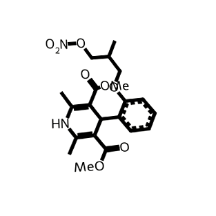 COC(=O)C1=C(C)NC(C)=C(C(=O)OC)C1c1ccccc1OCC(C)CO[N+](=O)[O-]